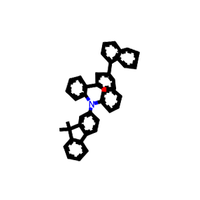 CC1(C)c2ccccc2-c2ccc(N(c3ccccc3)c3ccccc3-c3cccc(-c4cccc5ccccc45)c3)cc21